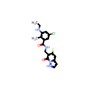 CCNc1cc(Cl)cc(C(=O)NCc2c(F)cc3cc[nH]n3c2=O)c1C